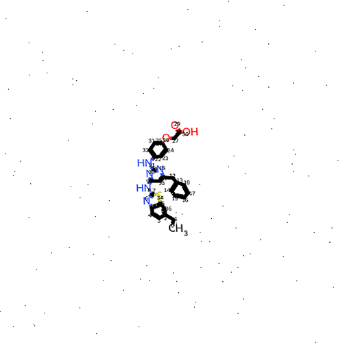 CCc1ccc2nc(Nc3cc(Cc4ccccc4)nc(Nc4ccc(OCC(=O)O)cc4)n3)sc2c1